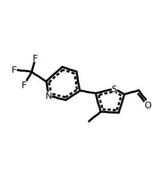 Cc1cc(C=O)sc1-c1ccc(C(F)(F)F)nc1